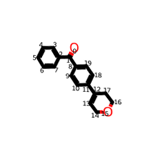 O=C(c1ccccc1)c1ccc(C2=CCOCC2)cc1